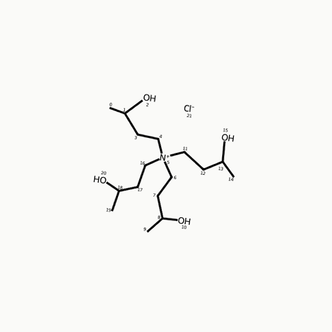 CC(O)CC[N+](CCC(C)O)(CCC(C)O)CCC(C)O.[Cl-]